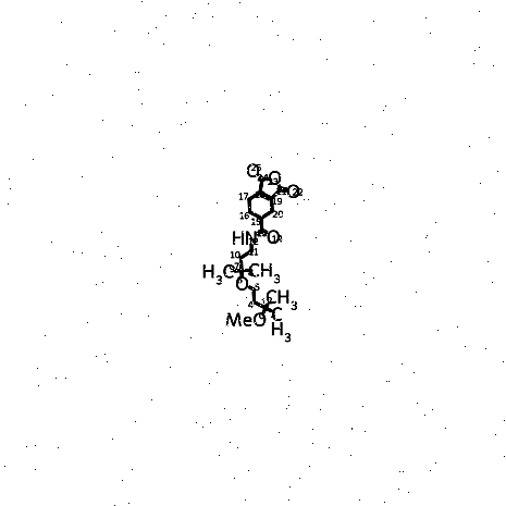 COC(C)(C)CCOC(C)(C)CCNC(=O)C1CCC2=C(C1)C(=O)OC2=O